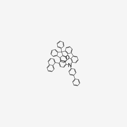 c1ccc(-c2ccc(N(c3ccc(-c4cccc5ccccc45)cc3)c3cccc4c3oc3c(C5(c6ccccc6)c6ccccc6-c6ccccc65)cccc34)cc2)cc1